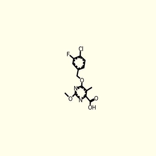 COc1nc(OCc2ccc(Cl)c(F)c2)c(C)c(C(=O)O)n1